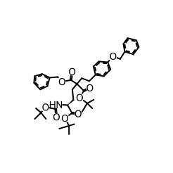 CC(C)(C)OC(=O)N[C@@H](CCC(CCc1ccc(OCc2ccccc2)cc1)(C(=O)OCc1ccccc1)C(=O)OC(C)(C)C)C(=O)OC(C)(C)C